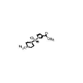 COC(=O)c1ccn(S(=O)(=O)N2CCN(C)CC2)c1